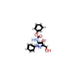 O=C(Nc1c(Br)c(CO)nn1-c1ccccc1)Oc1ccccc1